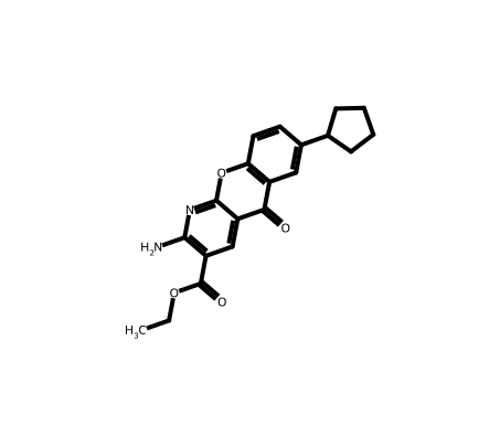 CCOC(=O)c1cc2c(=O)c3cc(C4CCCC4)ccc3oc2nc1N